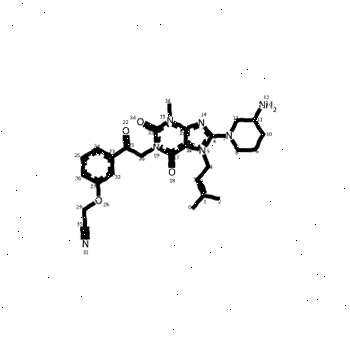 CC(C)=CCn1c(N2CCCC(N)C2)nc2c1c(=O)n(CC(=O)c1cccc(OCC#N)c1)c(=O)n2C